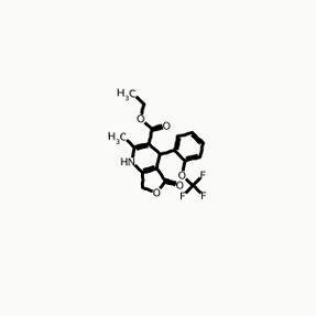 CCOC(=O)C1=C(C)NC2=C(C(=O)OC2)C1c1ccccc1OC(F)(F)F